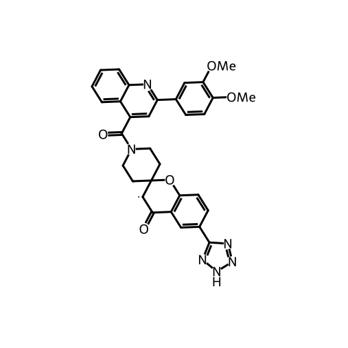 COc1ccc(-c2cc(C(=O)N3CCC4([CH]C(=O)c5cc(-c6nn[nH]n6)ccc5O4)CC3)c3ccccc3n2)cc1OC